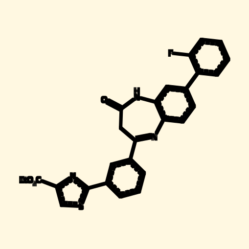 CCOC(=O)c1csc(-c2cccc(C3=Nc4ccc(-c5ccccc5F)cc4NC(=O)C3)c2)n1